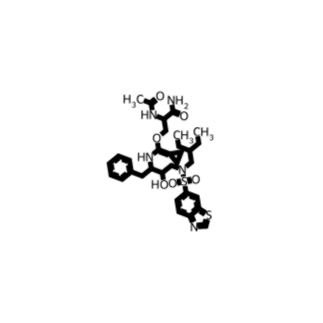 CCC(CC)CN(CC(O)C(Cc1ccccc1)NC(OCC(NC(C)=O)C(N)=O)=C1CC1)S(=O)(=O)c1ccc2ncsc2c1